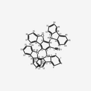 N#Cc1c(-n2c3ccccc3c3ccccc32)c(-n2c3ccccc3c3ccccc32)c2c(oc3ccccc32)c1-n1c2ccccc2c2ccccc21